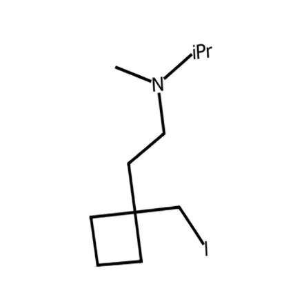 CC(C)N(C)CCC1(CI)CCC1